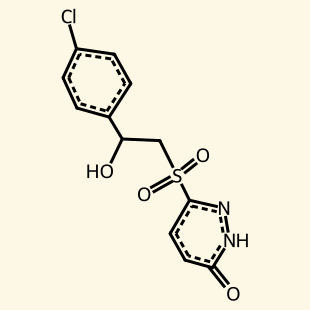 O=c1ccc(S(=O)(=O)CC(O)c2ccc(Cl)cc2)n[nH]1